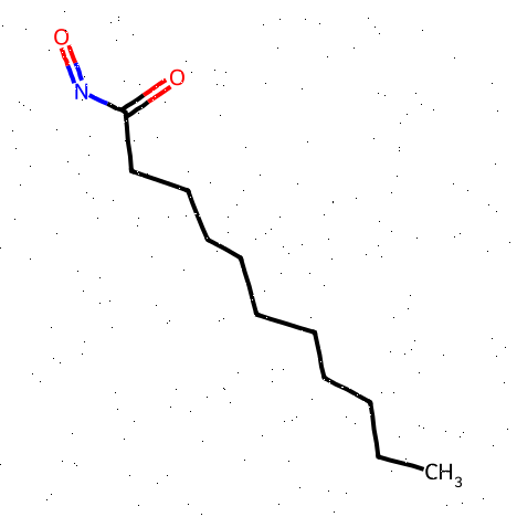 CCCCCCCCCCC(=O)N=O